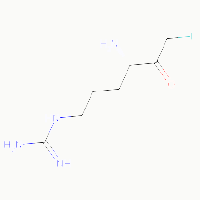 N=C(N)NCCC[C@H](N)C(=O)CF